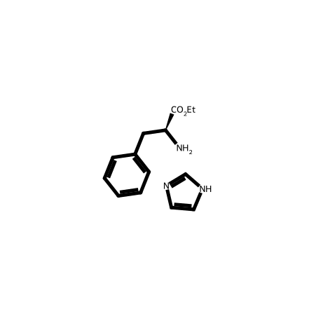 CCOC(=O)[C@@H](N)Cc1ccccc1.c1c[nH]cn1